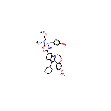 COCCN(C)C(=O)[C@H](Cc1ccc(O)cc1)NC(=O)c1ccc2c(C3CCCCC3)c3n(c2c1)CCOc1cc(OC)ccc1-3